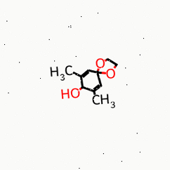 CC1=CC2(C=C(C)C1O)OCCO2